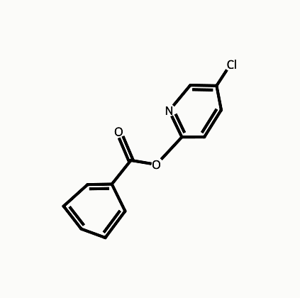 O=C(Oc1ccc(Cl)cn1)c1ccccc1